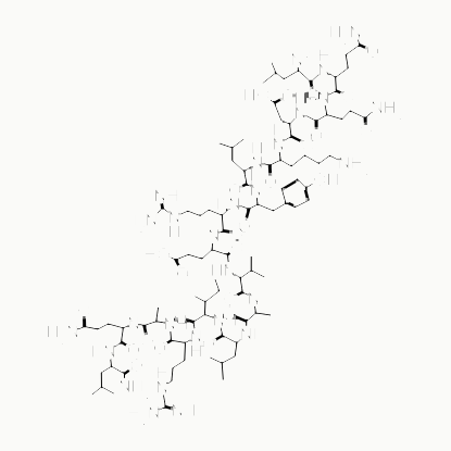 CCC(C)C(NC(=O)C(CC(C)C)NC(=O)C(C)NC(=O)C(NC(=O)C(CCC(=O)O)NC(=O)C(CCCNC(=N)N)NC(=O)C(Cc1ccc(O)cc1)NC(=O)C(CC(C)C)NC(=O)C(CCCCN)NC(=O)C(CC(=O)O)NC(=O)C(CCC(N)=O)NC(=O)C(CCC(N)=O)NC(=O)C(N)CC(C)C)C(C)C)C(=O)NC(CCCNC(=N)N)C(=O)NC(C)C(=O)NC(CCC(N)=O)C(=O)NC(CC(C)C)C(N)=O